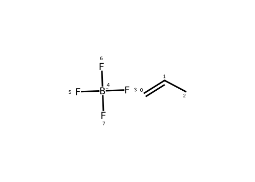 C=CC.F[B-](F)(F)F